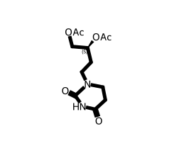 CC(=O)OC[C@H](CCN1CCC(=O)NC1=O)OC(C)=O